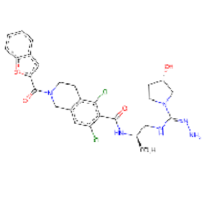 N/N=C(\NC[C@H](NC(=O)c1c(Cl)cc2c(c1Cl)CCN(C(=O)c1cc3ccccc3o1)C2)C(=O)O)N1CC[C@H](O)C1